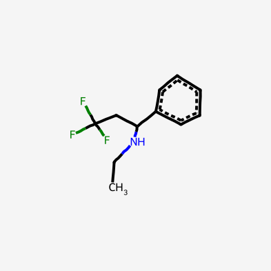 CCNC(CC(F)(F)F)c1ccccc1